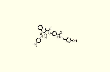 CN(C)c1ccc(/N=N/c2c(O)c(C(=O)Oc3ccc(C(=O)NCCc4ccc(O)cc4)cc3)cc3ccccc23)cc1